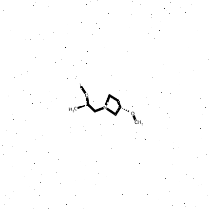 CO[C@H]1CCN(C[C@@H](C)OI)C1